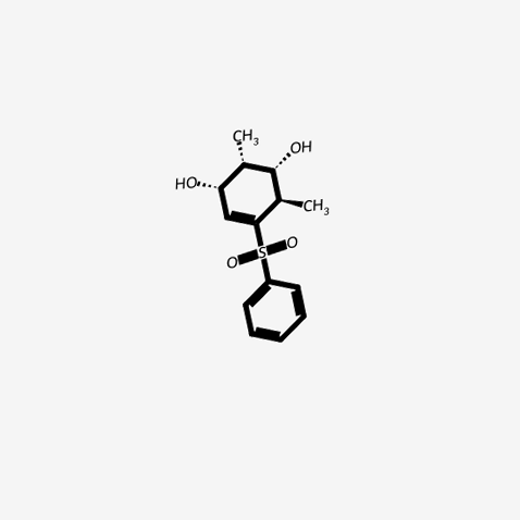 C[C@@H]1[C@H](O)[C@@H](C)C(S(=O)(=O)c2ccccc2)=C[C@@H]1O